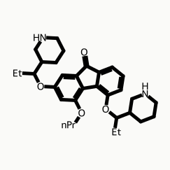 CCCOc1cc(OC(CC)C2CCCNC2)cc2c1-c1c(OC(CC)C3CCCNC3)cccc1C2=O